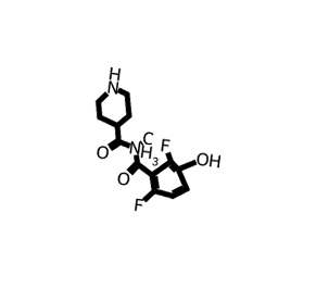 CN(C(=O)c1c(F)ccc(O)c1F)C(=O)C1CCNCC1